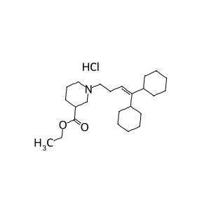 CCOC(=O)C1CCCN(CCC=C(C2CCCCC2)C2CCCCC2)C1.Cl